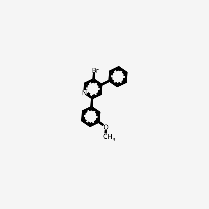 COc1cccc(-c2cc(-c3ccccc3)c(Br)cn2)c1